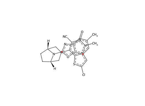 Cc1ccc2oc(N3[C@@H]4CC[C@H]3CN(c3c(C#N)c(=O)n(C)c5cc(Cl)sc35)C4)nc2c1